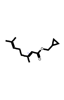 CC(C)=CCC/C(C)=C/C(=O)OCC1CC1